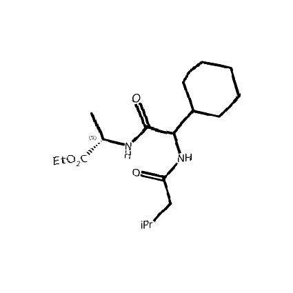 CCOC(=O)[C@H](C)NC(=O)C(NC(=O)CC(C)C)C1CCCCC1